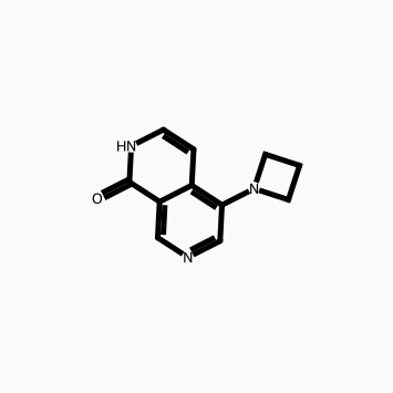 O=c1[nH]ccc2c(N3CCC3)cncc12